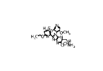 CCOc1cccc(-c2nc3nc(Cl)c(CS(N)(=O)=O)nc3n2-c2c(OC)cncc2OC)n1